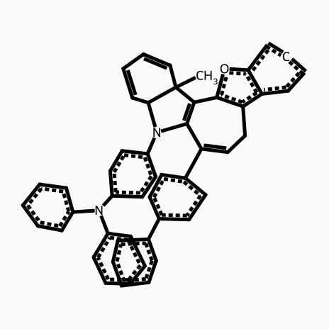 CC12C=CC=CC1N(c1ccc(N(c3ccccc3)c3ccccc3)cc1)C1=C2c2oc3ccccc3c2CC=C1c1ccc(-c2ccccc2)cc1